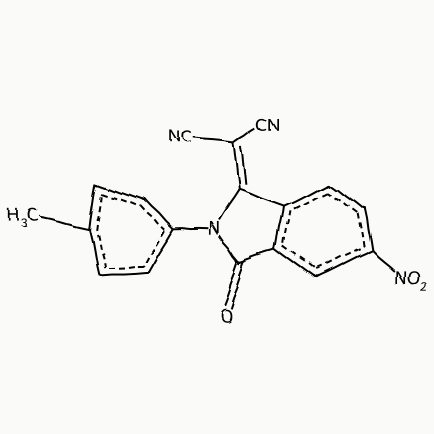 Cc1ccc(N2C(=O)c3cc([N+](=O)[O-])ccc3C2=C(C#N)C#N)cc1